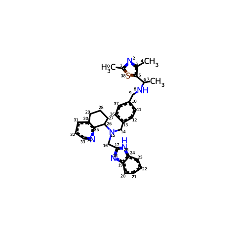 Cc1nc(C)c(C(C)NCc2ccc(CN(Cc3nc4ccccc4[nH]3)C3CCCc4cccnc43)cc2)s1